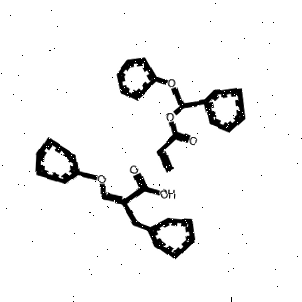 C=CC(=O)OC(Oc1ccccc1)c1ccccc1.O=C(O)C(=COc1ccccc1)Cc1ccccc1